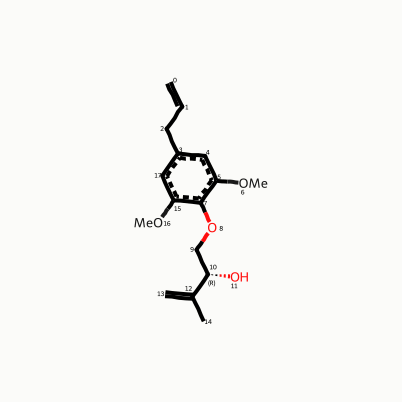 C=CCc1cc(OC)c(OC[C@H](O)C(=C)C)c(OC)c1